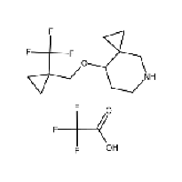 FC(F)(F)C1(COC2CCNCC23CC3)CC1.O=C(O)C(F)(F)F